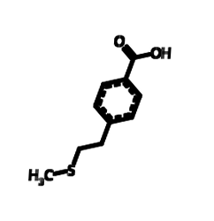 CSCCc1ccc(C(=O)O)cc1